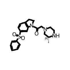 C[C@@H]1CN(CC(=O)N2CCc3ccc(S(=O)(=O)c4ccccc4)cc32)CCN1